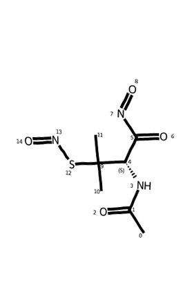 CC(=O)N[C@@H](C(=O)N=O)C(C)(C)SN=O